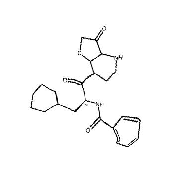 O=C(N[C@@H](CC1CCCCC1)C(=O)C1CCNC2C(=O)COC12)c1ccccc1